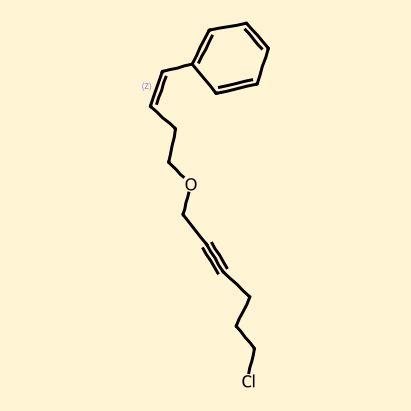 ClCCCC#CCOCC/C=C\c1ccccc1